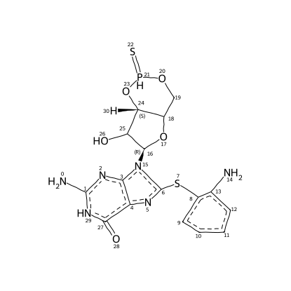 Nc1nc2c(nc(Sc3ccccc3N)n2[C@@H]2OC3CO[PH](=S)O[C@H]3C2O)c(=O)[nH]1